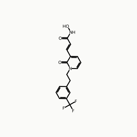 O=C(/C=C/c1cccn(CCc2cccc(C(F)(F)F)c2)c1=O)NO